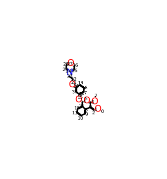 CO/C=C(\C(=O)OC)c1ccccc1COc1cccc(OCCN2CCOCC2)c1